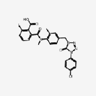 Cc1cc(Cn2nnn(-c3ccc(Cl)cc3)c2=O)ccc1N(C)C(=O)c1cccc(I)c1C(=O)O